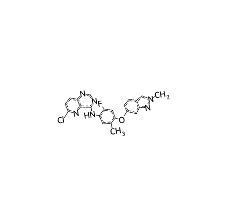 Cc1cc(Nc2ncnc3ccc(Cl)nc23)c(F)cc1Oc1ccc2cn(C)nc2c1